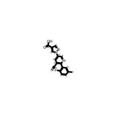 Cc1ccc(F)c(-c2ncc(-n3cc(C(=O)O)cn3)cc2C#N)c1